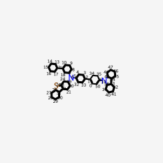 C1=C(c2ccc(N(c3cccc(-c4ccccc4)c3)c3ccc4c(c3)sc3ccccc34)cc2)CCC(n2c3ccccc3c3ccccc32)=C1